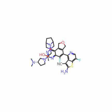 C[C@@H](O)CN1CC2CCC(C1)N2c1nc(N2CC[C@H](N(C)C)C2)nc2c(F)c(-c3ncc(F)c4sc(N)c(C#N)c34)c3c(c12)COC3